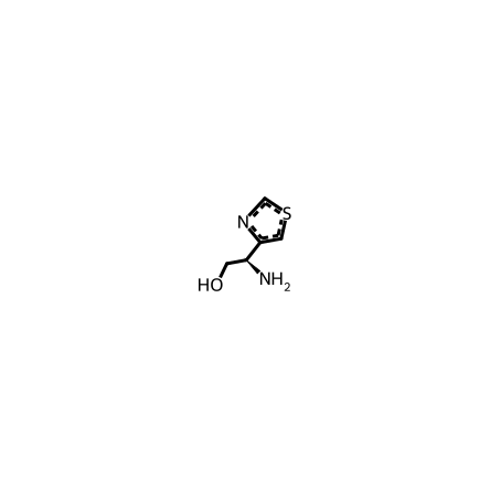 N[C@@H](CO)c1cscn1